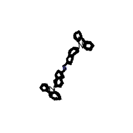 C(=C\c1ccc2cc(-n3c4ccccc4c4ccccc43)ccc2c1)/c1ccc2cc(-n3c4ccccc4c4ccccc43)ccc2c1